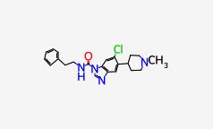 CN1CCC(c2cc3ncn(C(=O)NCCc4ccccc4)c3cc2Cl)CC1